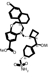 COC(=O)c1ccc2c(c1)N(C[C@@H]1CC[C@H]1[C@@H](OC)C1=CC[C@H](CS(N)(=O)=O)CC1)C[C@@]1(CCCc3cc(Cl)ccc31)CO2